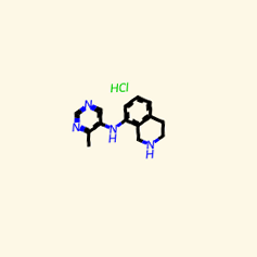 Cc1ncncc1Nc1cccc2c1CNCC2.Cl